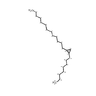 CCCCCCCCCCCCCC1=C(CCCCCCCC)C1